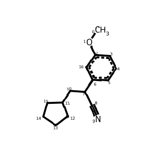 COc1cccc(C(C#N)CC2CCCC2)c1